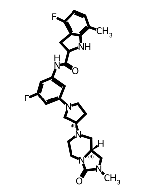 Cc1ccc(F)c2c1NC(C(=O)Nc1cc(F)cc(N3CC[C@@H](N4CCN5C(=O)N(C)C[C@H]5C4)C3)c1)C2